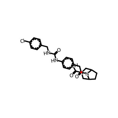 O=C(NCc1ccc(Cl)cc1)Nc1ccc(CC(=O)N2C3CCC2CN(C(=O)O)C3)cc1